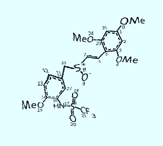 COc1cc(OC)c(C=C[S+]([O-])Cc2ccc(OC)c(NS(=O)(=O)C(F)(F)F)c2)c(OC)c1